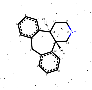 c1ccc2c(c1)Cc1ccccc1[C@H]1CNCC[C@H]21